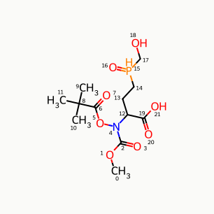 COC(=O)N(OC(=O)C(C)(C)C)C(CC[PH](=O)CO)C(=O)O